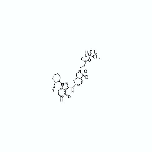 CC(C)(C)OC(=O)CCN1Cc2cc(Nc3nn(C4CCCCC4C#N)c4cc[nH]c(=O)c34)ccc2S1(=O)=O